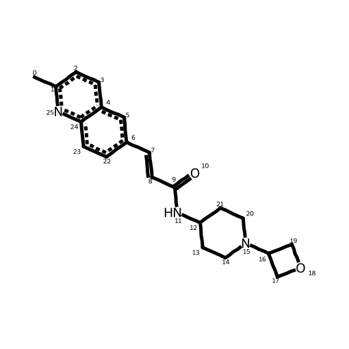 Cc1ccc2cc(/C=C/C(=O)NC3CCN(C4COC4)CC3)ccc2n1